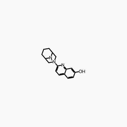 CN1C2CCCC1CN(c1ccc3ccc(O)cc3n1)C2